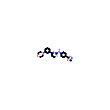 c1cc(-c2ccnc(Nc3ccc(-c4nnco4)cc3)n2)cc(N2CCOCC2)c1